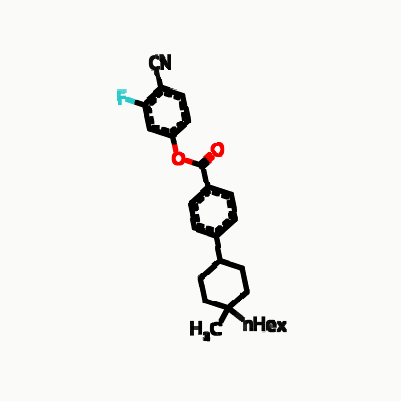 CCCCCCC1(C)CCC(c2ccc(C(=O)Oc3ccc(C#N)c(F)c3)cc2)CC1